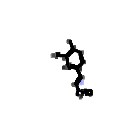 Cc1ccc(/C=C/C=O)nc1F